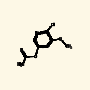 COc1cc(OC(C)=O)cnc1Cl